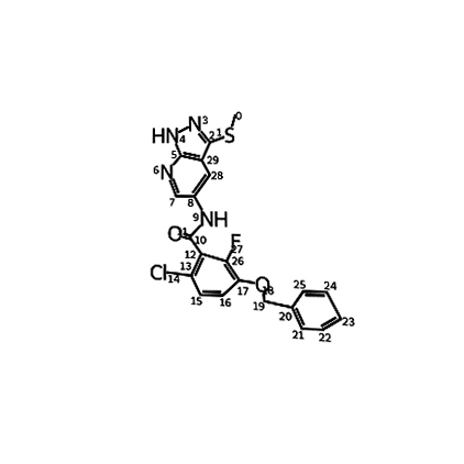 CSc1n[nH]c2ncc(NC(=O)c3c(Cl)ccc(OCc4ccccc4)c3F)cc12